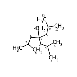 BC(CC(C)C)(CC(C)C)CC(C)C